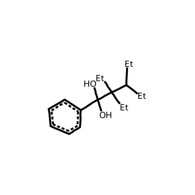 CCC(CC)C(CC)(CC)C(O)(O)c1ccccc1